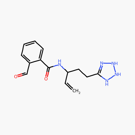 C=CC(CCC1=NNNN1)NC(=O)c1ccccc1C=O